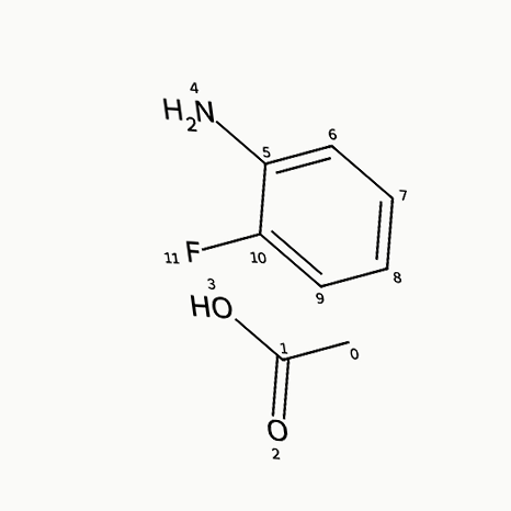 CC(=O)O.Nc1ccccc1F